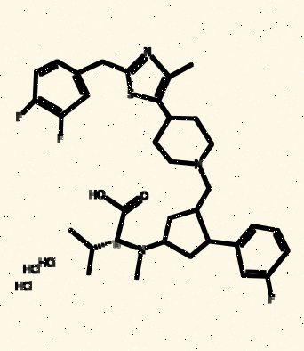 Cc1nc(Cc2ccc(F)c(F)c2)sc1C1CCN(CC2CC(N(C)[C@@H](C(=O)O)C(C)C)CC2c2cccc(F)c2)CC1.Cl.Cl.Cl